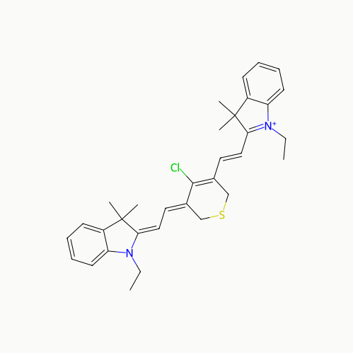 CCN1/C(=C/C=C2\CSCC(/C=C/C3=[N+](CC)c4ccccc4C3(C)C)=C2Cl)C(C)(C)c2ccccc21